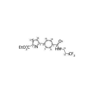 CCOC(=O)c1nc(-c2ccc(C(=O)NCCC(F)(F)F)cc2)cs1